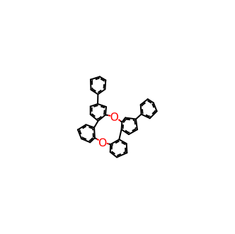 c1ccc(-c2ccc3c(c2)Oc2cc(-c4ccccc4)ccc2-c2ccccc2Oc2ccccc2-3)cc1